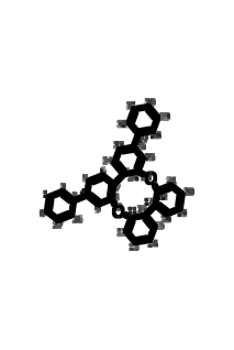 c1ccc(-c2ccc3c(c2)Oc2ccccc2-c2ccccc2Oc2cc(-c4ccccc4)ccc2-3)cc1